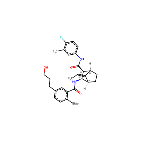 CNc1ccc(CCCO)cc1C(=O)N[C@H]1[C@@H](C(=O)Nc2ccc(F)c(C(F)(F)F)c2)[C@H]2CC[C@@H]1/C2=C\C(F)(F)F